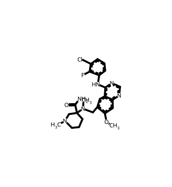 COc1cc2ncnc(Nc3cccc(Cl)c3F)c2cc1CN(C)C1(C(N)=O)CCCN(C)C1